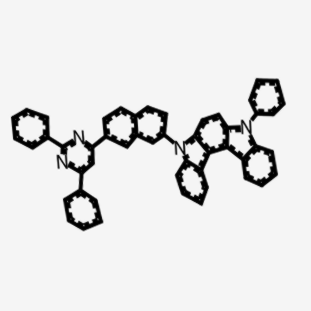 c1ccc(-c2cc(-c3ccc4ccc(-n5c6ccccc6c6c7c8ccccc8n(-c8ccccc8)c7ccc65)cc4c3)nc(-c3ccccc3)n2)cc1